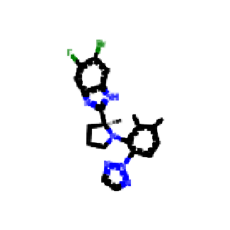 Cc1c[c]c(-n2nccn2)c(N2CCC[C@@]2(C)c2nc3cc(F)c(Br)cc3[nH]2)c1C